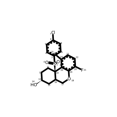 O=S(=O)(c1ccc(Cl)cc1)[C@]12CC[C@@H](O)CC1COc1c(F)ccc(F)c12